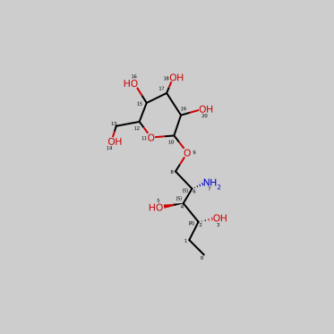 CC[C@@H](O)[C@@H](O)[C@@H](N)COC1OC(CO)C(O)C(O)C1O